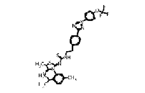 Cc1ccc(C(C)C)c(N2C(=O)C(C)S/C2=N\C(=S)NCCc2ccc(-c3ncn(-c4ccc(OC(F)(F)F)cc4)n3)cc2)c1